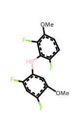 COc1cc(Bc2c(F)ccc(OC)c2F)c(F)cc1F